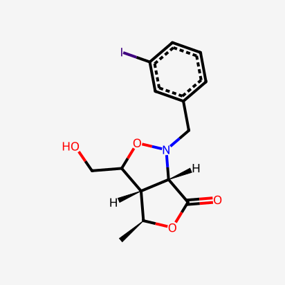 C[C@@H]1OC(=O)[C@@H]2[C@H]1C(CO)ON2Cc1cccc(I)c1